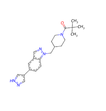 CC(C)(C)C(=O)N1CCC(Cn2ncc3cc(-c4cn[nH]c4)ccc32)CC1